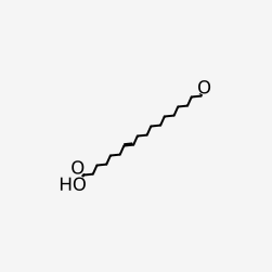 O=CCCCCCCCCC/C=C/CCCCCC(=O)O